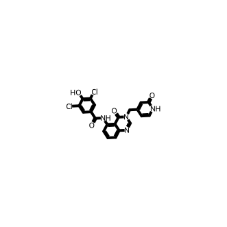 O=C(Nc1cccc2ncn(Cc3cc[nH]c(=O)c3)c(=O)c12)c1cc(Cl)c(O)c(Cl)c1